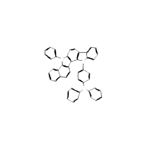 c1ccc(N(c2ccccc2)c2ccc(-n3c4ccccc4c4ccc5c(c6ccc7ccccc7c6n5-c5ccccc5)c43)cc2)cc1